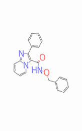 O=C(NOCc1ccccc1)c1c(-c2ccccc2)nc2ccccn12